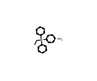 CC[N+](c1ccccc1)(c1ccccc1)c1ccccc1.P